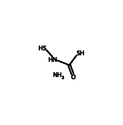 N.O=C(S)NS